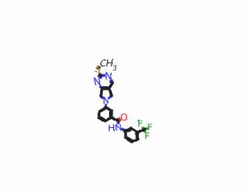 CSc1ncc2c(n1)CN(c1cccc(C(=O)Nc3cccc(C(F)(F)F)c3)c1)C2